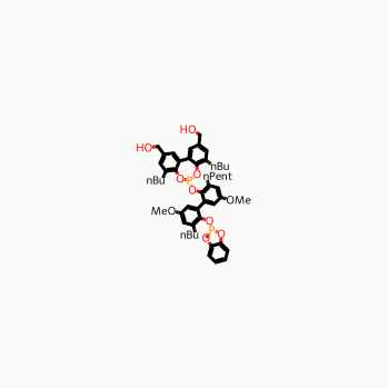 CCCCCc1cc(OC)cc(-c2cc(OC)cc(CCCC)c2OP2Oc3ccccc3O2)c1Op1oc2c(CCCC)cc(CO)cc2c2cc(CO)cc(CCCC)c2o1